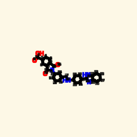 O=C(O)c1ccc2c(c1)C(=O)N(c1cccc(CNc3ccc(-c4nc5ccccc5[nH]4)cc3)c1)C2=O